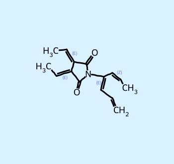 C=C/C=C(\C=C/C)N1C(=O)C(=C/C)/C(=C\C)C1=O